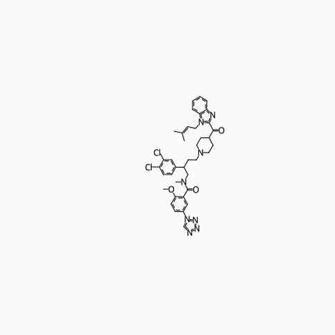 COc1ccc(-n2cnnn2)cc1C(=O)N(C)CC(CCN1CCC(C(=O)c2nc3ccccc3n2CC=C(C)C)CC1)c1ccc(Cl)c(Cl)c1